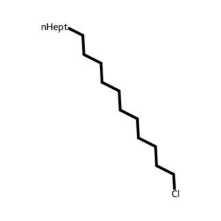 C[CH]CCCCCCCCCCCCCCCCCl